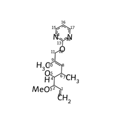 C=CC(OC)C(O)C(C)C=C(C)COc1ncccn1